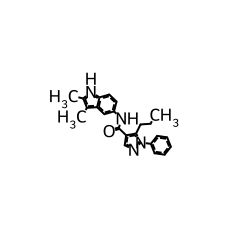 CCCc1c(C(=O)Nc2ccc3[nH]c(C)c(C)c3c2)cnn1-c1ccccc1